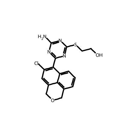 Nc1nc(SCCO)nc(-c2c(Cl)cc3c4c(cccc24)COC3)n1